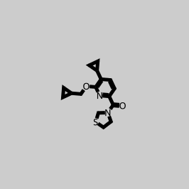 O=C(c1ccc(C2CC2)c(OCC2CC2)n1)N1CCSC1